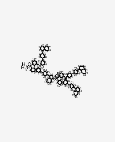 CC1(C)c2ccccc2-c2c(N(c3cccc(-c4ccc(-c5cccc6ccccc56)cc4)c3)c3cccc(-c4ccc(-c5ccc(CC6(C)c7ccccc7-c7c(N(c8ccc(-c9ccc(-c%10cccc%11ccccc%10%11)cc9)cc8)c8cccc(-c9ccc(-c%10cccc%11ccccc%10%11)cc9)c8)cccc76)c6ccccc56)cc4)c3)cccc21